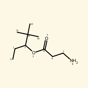 CCC(OC(=O)CCN)C(C)(C)C